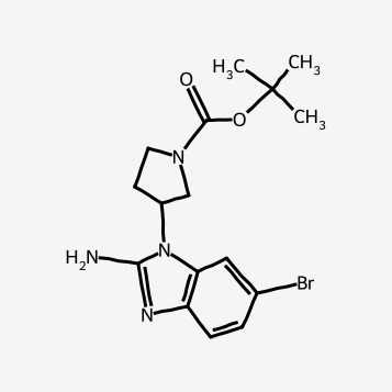 CC(C)(C)OC(=O)N1CCC(n2c(N)nc3ccc(Br)cc32)C1